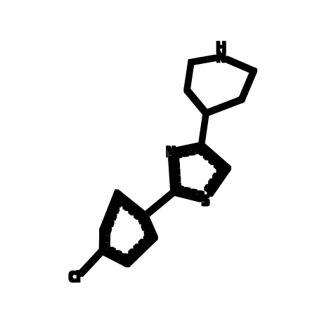 Clc1ccc(-c2nc(C3CCNCC3)cs2)cc1